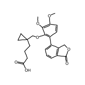 COc1ccc(-c2cccc3c2COC3=O)c(OCC2(CCCC(=O)O)CC2)c1OC